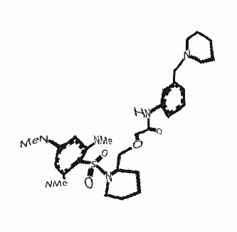 CNc1cc(NC)c(S(=O)(=O)N2CCCCC2COCC(=O)Nc2cccc(CN3CCCCC3)c2)c(NC)c1